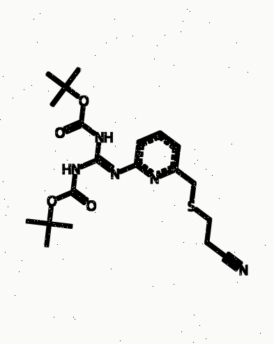 CC(C)(C)OC(=O)NC(=Nc1cccc(CSCCC#N)n1)NC(=O)OC(C)(C)C